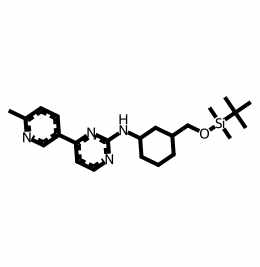 Cc1ccc(-c2ccnc(NC3CCCC(CO[Si](C)(C)C(C)(C)C)C3)n2)cn1